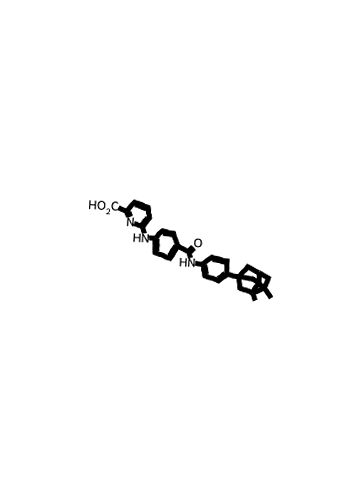 CC12CC3CC(c4ccc(NC(=O)c5ccc(Nc6cccc(C(=O)O)n6)cc5)cc4)(C1)CC2(C)C3